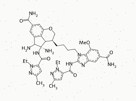 CCn1nc(C)cc1C(=O)Nc1nc2cc(C(N)=O)cc(OC)c2n1CCCC[C@@H]1COc2cc(C(N)=O)cc3c2C1[C@@](N)(NC(=O)c1cc(C)nn1CC)C3N